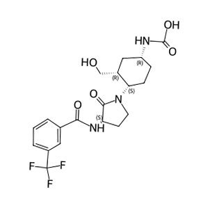 O=C(O)N[C@@H]1CC[C@H](N2CC[C@H](NC(=O)c3cccc(C(F)(F)F)c3)C2=O)[C@H](CO)C1